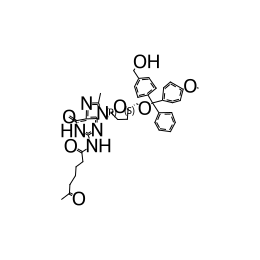 COc1ccc(C(OC[C@@H]2CC[C@H](n3c(C)nc4c(=O)[nH]c(NC(=O)CCCCC(C)=O)nc43)O2)(c2ccccc2)c2ccc(CO)cc2)cc1